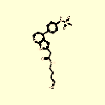 CS(=O)(=O)Nc1ccc(-c2ccnc3[nH]c(CC(=O)NCCCCO)cc23)cc1